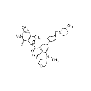 CCN(c1cc(-c2ccc(CN3CCCC(C)C3)cc2)cc(C(=O)NCc2c(C)cc(C)[nH]c2=O)c1C)C1CCOCC1